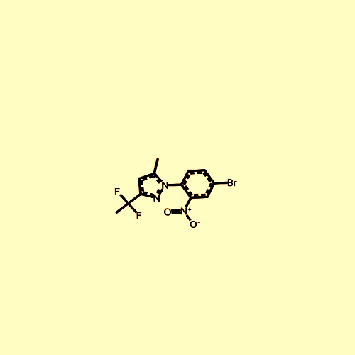 Cc1cc(C(C)(F)F)nn1-c1ccc(Br)cc1[N+](=O)[O-]